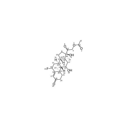 CC(=O)OCC(=O)[C@@]1(O)CC[C@H]2[C@@H]3CC(F)C4=CC(=O)CC[C@]4(C)[C@H]3C(O)C[C@@]21C